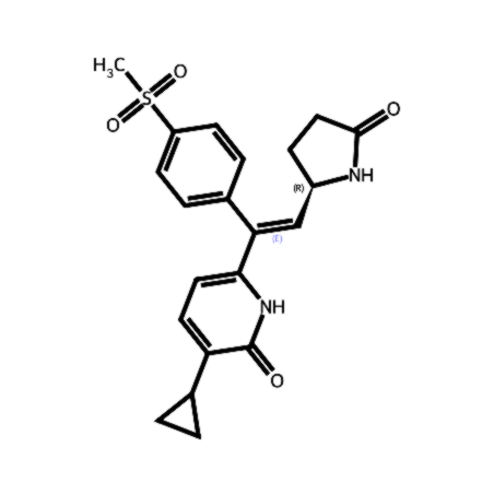 CS(=O)(=O)c1ccc(/C(=C\[C@H]2CCC(=O)N2)c2ccc(C3CC3)c(=O)[nH]2)cc1